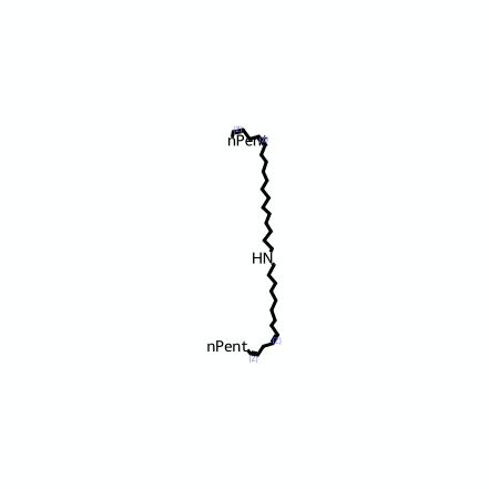 CCCCC/C=C\C/C=C\CCCCCCCCCCCCNCCCCCCCC/C=C\C/C=C\CCCCC